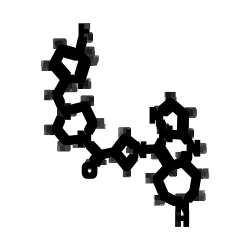 O=C(C1CN(c2c3c(nc4ccnn24)CCNCC3)C1)N1CCN(Cc2ccc(F)cc2)CC1